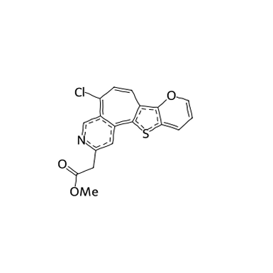 COC(=O)Cc1cc2c(cn1)=C(Cl)C=Cc1c3c(sc1=2)=CC=CO3